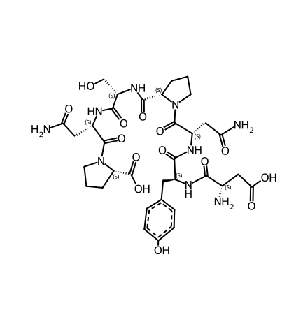 NC(=O)C[C@H](NC(=O)[C@H](CO)NC(=O)[C@@H]1CCCN1C(=O)[C@H](CC(N)=O)NC(=O)[C@H](Cc1ccc(O)cc1)NC(=O)[C@@H](N)CC(=O)O)C(=O)N1CCC[C@H]1C(=O)O